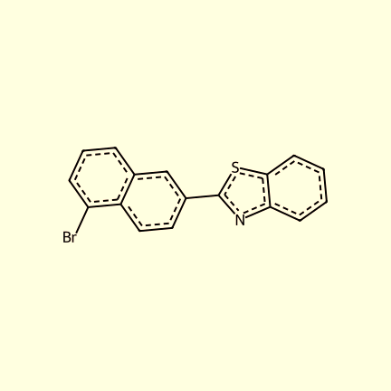 Brc1cccc2cc(-c3nc4ccccc4s3)ccc12